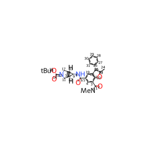 CNC(=O)c1cc(C(=O)NC2[C@H]3CN(C(=O)OC(C)(C)C)C[C@@H]23)cc2c1O[C@H](C)[C@H]2c1ccccc1